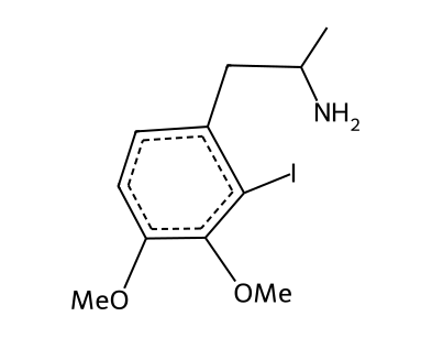 COc1ccc(CC(C)N)c(I)c1OC